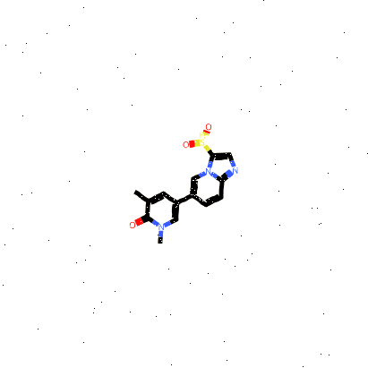 Cc1cc(-c2ccc3ncc([SH](=O)=O)n3c2)cn(C)c1=O